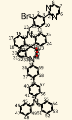 Brc1cc(-c2ncccn2)ccc1CN1c2ccccc2C2(c3ccccc31)c1ccccc1N(c1ccc(-c3ccc(N(c4ccccc4)c4ccccc4)cc3)cc1)c1ccccc12